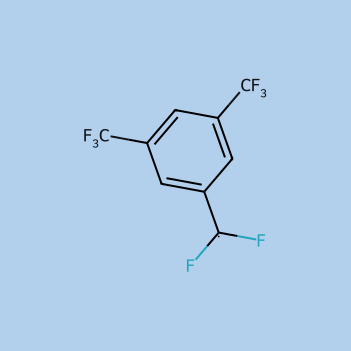 F[C](F)c1cc(C(F)(F)F)cc(C(F)(F)F)c1